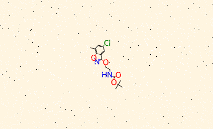 Cc1cc(Cl)cc2c(OCCNC(=O)OC(C)(C)C)noc12